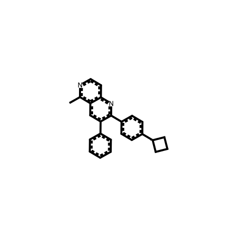 Cc1nccc2nc(-c3ccc([C]4CCC4)cc3)c(-c3ccccc3)cc12